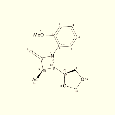 COc1ccccc1N1C(=O)[C@H](C(C)=O)[C@H]1[C@H]1COCO1